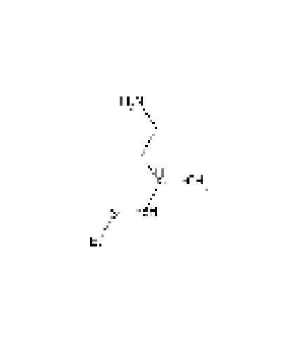 CCSB[SH](C)CCN